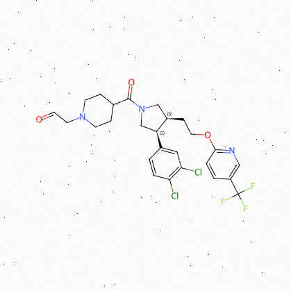 O=CCN1CCC(C(=O)N2C[C@@H](CCOc3ccc(C(F)(F)F)cn3)[C@@H](c3ccc(Cl)c(Cl)c3)C2)CC1